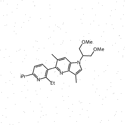 CCc1nc(C(C)C)ccc1-c1nc2c(C)cn(C(COC)COC)c2cc1C